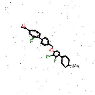 COC1CCC(c2ccc(OCc3ccc(-c4ccc(C5CO5)cc4F)cc3)c(F)c2F)CC1